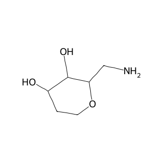 NCC1OCCC(O)C1O